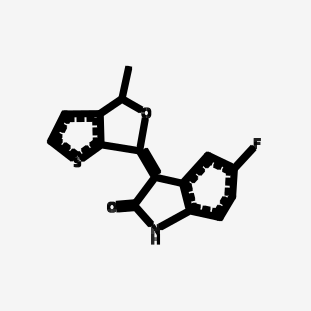 CC1OC(=C2C(=O)Nc3ccc(F)cc32)c2sccc21